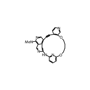 CNc1ncc2c3cc(ncc13)Nc1cccc(n1)OCCCCOc1cnccc1C#C2